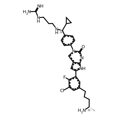 C[C@H](N)CCCc1cc(Cl)c(F)c(-c2cc3cn(-c4ccc([C@@H](NCCCNC(=N)N)C5CC5)cc4)c(=O)nc3[nH]2)c1